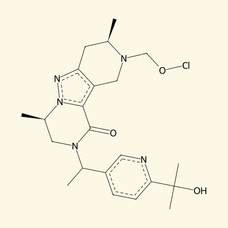 CC(c1ccc(C(C)(C)O)nc1)N1C[C@@H](C)n2nc3c(c2C1=O)CN(COCl)[C@H](C)C3